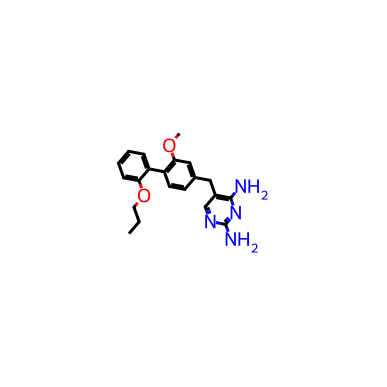 CCCOc1ccccc1-c1ccc(Cc2cnc(N)nc2N)cc1OC